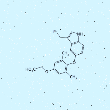 Cc1cc(OCC(=O)O)cc(C)c1Oc1ccc2[nH]cc(CC(C)C)c2c1